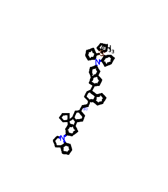 CS12(C)(CCCC1)c1ccccc1N(c1ccc3cc(C4=c5ccccc5=C(/C=C/C5=CC=C6c7ccc(N8CCCc9ccccc98)cc7C7(CCCC7)C6C5)CC4)ccc3c1)c1ccccc12